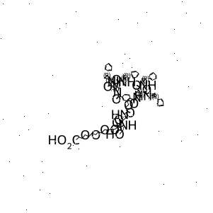 O=C(O)CCOCCOCCOCCOC(=O)[C@H](CO)NC(=O)CNC(=O)COc1cc(C(=O)N2C[C@@H](C(=O)N[C@H]3C[C@@H]3c3ccccc3)[C@H](C(=O)N[C@H]3C[C@@H]3c3ccccc3)C2)ccc1C(=O)N1C[C@@H](C(=O)N[C@H]2C[C@@H]2c2ccccc2)[C@H](C(=O)N[C@H]2C[C@@H]2c2ccccc2)C1